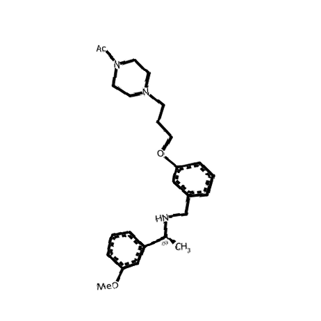 COc1cccc([C@H](C)NCc2cccc(OCCCN3CCN(C(C)=O)CC3)c2)c1